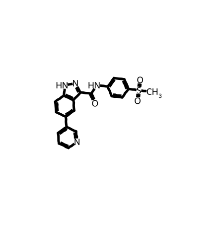 CS(=O)(=O)c1ccc(NC(=O)c2n[nH]c3ccc(-c4cccnc4)cc23)cc1